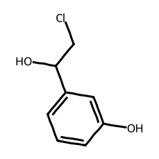 Oc1cccc(C(O)CCl)c1